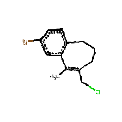 CC1=C(CCl)CCCc2ccc(Br)cc21